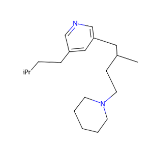 CC(C)CCc1cncc(CC(C)CCN2CCCCC2)c1